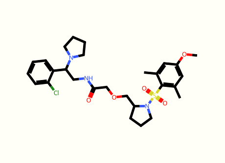 COc1cc(C)c(S(=O)(=O)N2CCCC2COCC(=O)NCC(c2ccccc2Cl)N2CCCC2)c(C)c1